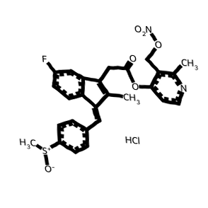 CC1=C(CC(=O)Oc2ccnc(C)c2CO[N+](=O)[O-])c2cc(F)ccc2C1=Cc1ccc([S+](C)[O-])cc1.Cl